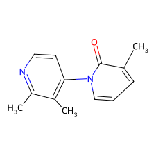 Cc1nccc(-n2cccc(C)c2=O)c1C